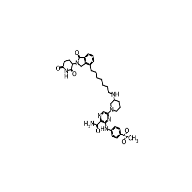 CS(=O)(=O)c1ccc(Nc2nc(N3CCC[C@@H](NCCCCCCCc4cccc5c4CN(C4CCC(=O)NC4=O)C5=O)C3)cnc2C(N)=O)cc1